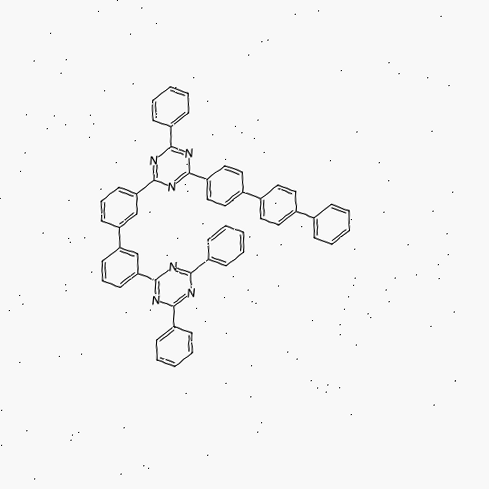 c1ccc(-c2ccc(-c3ccc(-c4nc(-c5ccccc5)nc(-c5cccc(-c6cccc(-c7nc(-c8ccccc8)nc(-c8ccccc8)n7)c6)c5)n4)cc3)cc2)cc1